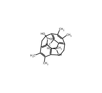 Cc1c(C)c2c(P(O)O)c(C)c1CCc1c(C)c(C)c(c(C)c1P(O)O)CC2